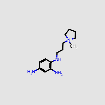 C[N+]1(CCCNc2ccc(N)cc2N)CCCC1